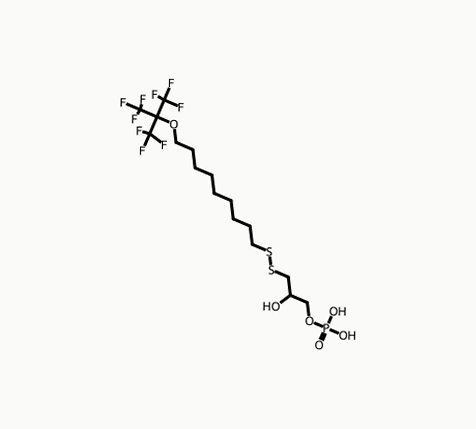 O=P(O)(O)OCC(O)CSSCCCCCCCCCOC(C(F)(F)F)(C(F)(F)F)C(F)(F)F